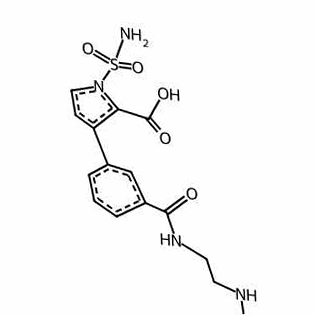 NS(=O)(=O)n1ccc(-c2cccc(C(=O)NCCNCl)c2)c1C(=O)O